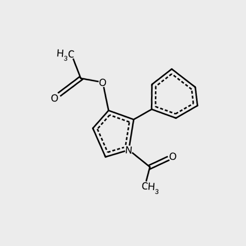 CC(=O)Oc1ccn(C(C)=O)c1-c1ccccc1